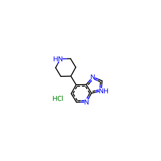 Cl.c1cc(C2CCNCC2)c2nc[nH]c2n1